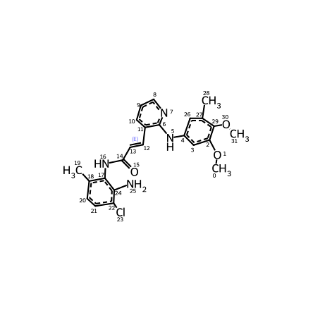 COc1cc(Nc2ncccc2/C=C/C(=O)Nc2c(C)ccc(Cl)c2N)cc(C)c1OC